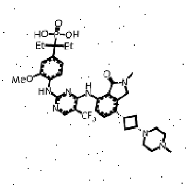 CCC(CC)(c1ccc(Nc2ncc(C(F)(F)F)c(Nc3ccc([C@H]4C[C@@H](N5CCN(C)CC5)C4)c4c3C(=O)N(C)C4)n2)c(OC)c1)P(=O)(O)O